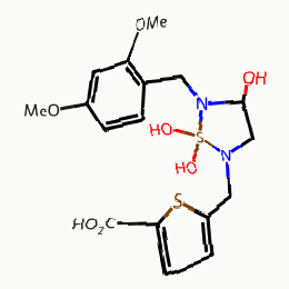 COc1ccc(CN2C(O)CN(Cc3ccc(C(=O)O)s3)S2(O)O)c(OC)c1